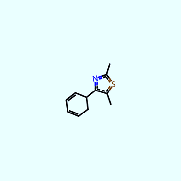 Cc1nc(C2C=CC=CC2)c(C)s1